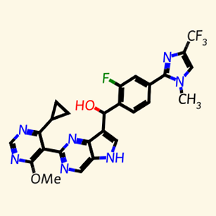 COc1ncnc(C2CC2)c1-c1ncc2[nH]cc(C(O)c3ccc(-c4nc(C(F)(F)F)cn4C)cc3F)c2n1